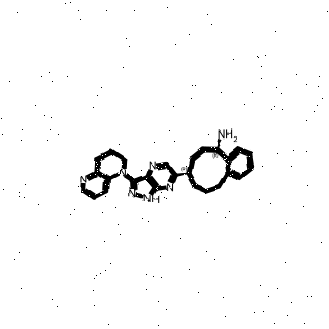 N[C@@H]1CC[C@H](c2cnc3c(N4CCCc5ncccc54)n[nH]c3n2)CCCc2ccccc21